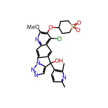 COc1nc2ccc(C(O)(c3ccc(C)nc3C)c3cnnn3C)cc2c(Cl)c1OC1CCS(=O)(=O)CC1